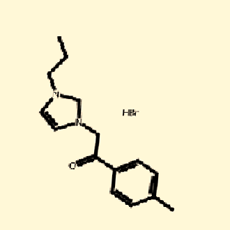 Br.CCCN1C=CN(CC(=O)c2ccc(C)cc2)C1